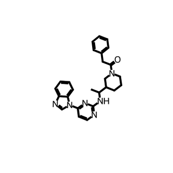 CC(Nc1nccc(-n2cnc3ccccc32)n1)C1CCCN(C(=O)Cc2ccccc2)C1